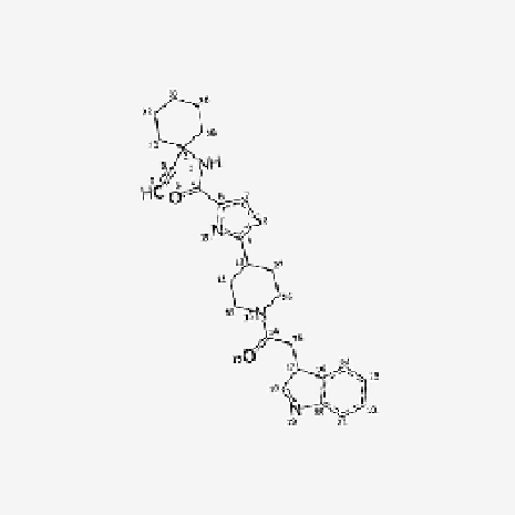 C#CC1(NC(=O)c2csc(C3CCN(C(=O)CC4C=Nc5ccccc54)CC3)n2)CCCCC1